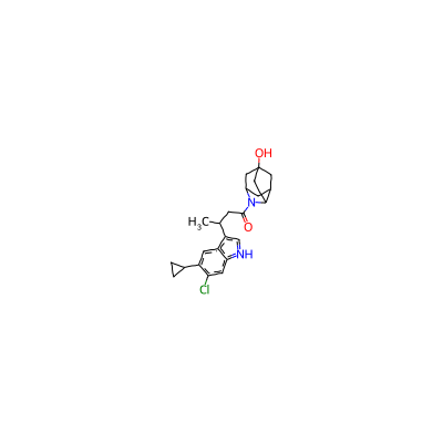 CC(CC(=O)N1C2CC3CC(O)(C2)CC31)c1c[nH]c2cc(Cl)c(C3CC3)cc12